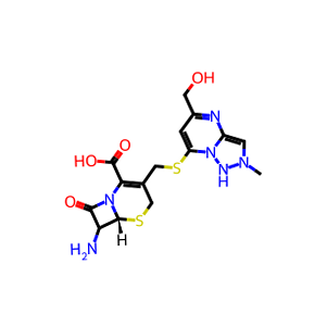 CN1C=C2N=C(CO)C=C(SCC3=C(C(=O)O)N4C(=O)C(N)[C@H]4SC3)N2N1